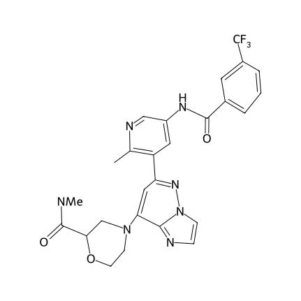 CNC(=O)C1CN(c2cc(-c3cc(NC(=O)c4cccc(C(F)(F)F)c4)cnc3C)nn3ccnc23)CCO1